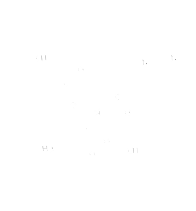 CCC(=O)O[Si](CCCN1C=NCC1)(C1(CC)OO1)C1(CC)OO1